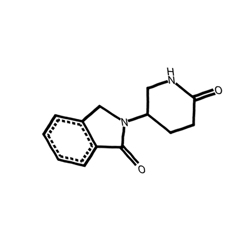 O=C1CCC(N2Cc3ccccc3C2=O)CN1